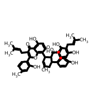 CC(C)=CCc1c(O)ccc(C(=O)C2C(c3c(O)cc(O)c4c(=O)c(CC=C(C)C)c(-c5ccc(C)cc5O)oc34)C=C(C)CC2c2ccc(O)cc2O)c1O